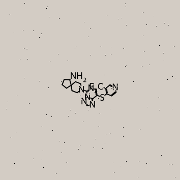 N[C@@H]1CCCC12CCN(c1ncc(Sc3ccncc3C(F)(F)F)c3ncnn13)CC2